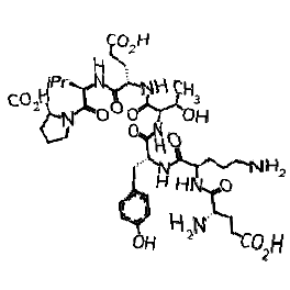 CC(C)[C@@H](NC(=O)[C@H](CCC(=O)O)NC(=O)[C@H](NC(=O)[C@@H](Cc1ccc(O)cc1)NC(=O)[C@@H](CCCN)NC(=O)[C@@H](N)CCC(=O)O)[C@@H](C)O)C(=O)N1CCC[C@H]1C(=O)O